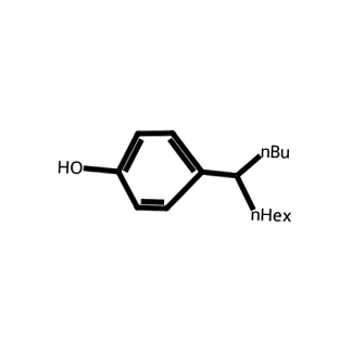 CCCCCCC(CCCC)c1ccc(O)cc1